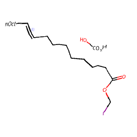 CCCCCCCC/C=C/CCCCCCCC(=O)OCI.O=C(O)O